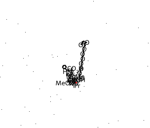 CC[C@H](C)[C@@H]([C@@H](CC(=O)N1CCC[C@H]1[C@H](OC)[C@@H](C)C(=S)N[C@@H](Cc1ccccc1)C(=O)O)OC)N(C)[C@H](C(=O)NC(=O)C(C)(C)NC(=O)CCOCCOCCOCCOCCOCCOCCN1C(=O)C=CC1=O)C(C)C